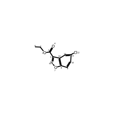 CCOC(=O)c1noc2ccc(Cl)cc12